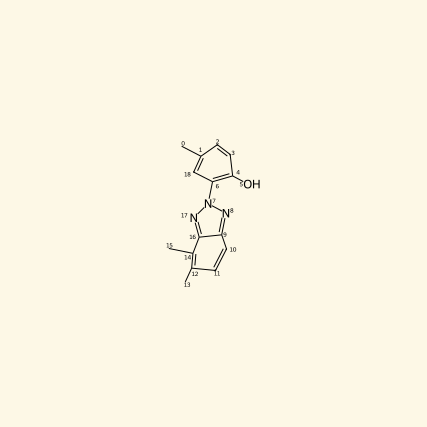 Cc1ccc(O)c(-n2nc3ccc(C)c(C)c3n2)c1